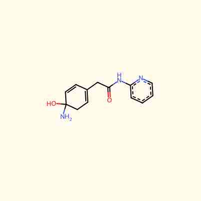 NC1(O)C=CC(CC(=O)Nc2ccccn2)=CC1